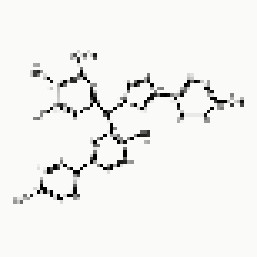 COc1cc(C(c2cc(-c3ccc(O)cc3)ccc2O)C2C=CC(c3ccc(O)cc3)=C2)cc(I)c1O